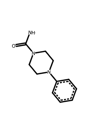 [NH]C(=O)N1CCN(c2ccccc2)CC1